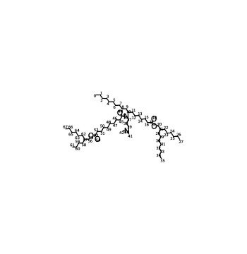 CCCCCCCCCCC(CCCCCCC(=O)OCC(CCCCCC)CCCCCCCC)N(CCCN(C)C)C(=O)CCCCCCCCC(=O)OCC(CCCC)CCCCCC